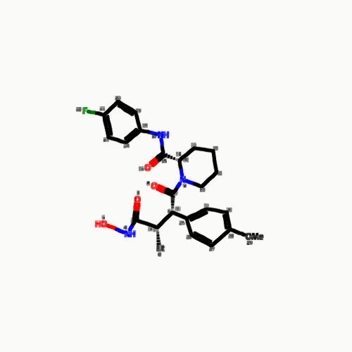 CC[C@H](C(=O)NO)[C@H](C(=O)N1CCCC[C@H]1C(=O)Nc1ccc(F)cc1)c1ccc(OC)cc1